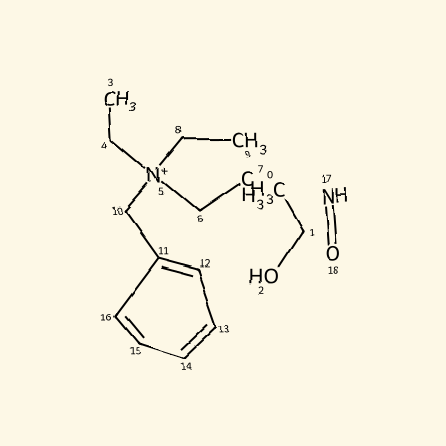 CCO.CC[N+](CC)(CC)Cc1ccccc1.N=O